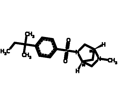 CCC(C)(C)c1ccc(S(=O)(=O)N2C[C@@H]3C[C@H]2CN3C)cc1